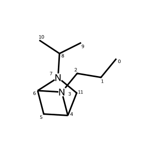 CCCN1C2CC1N(C(C)C)C2